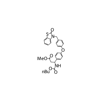 CCCCOC(=O)NC(CC(=O)OC)c1ccc(Oc2ccc(Cn3c(=O)sc4ccccc43)cc2)cc1